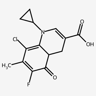 CC1=C(F)C(=O)C2CC(C(=O)O)=CN(C3CC3)C2=C1Cl